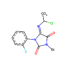 CCN1C(=O)C(=NC(Cl)C(Cl)(Cl)Cl)N(c2ccccc2F)C1=O